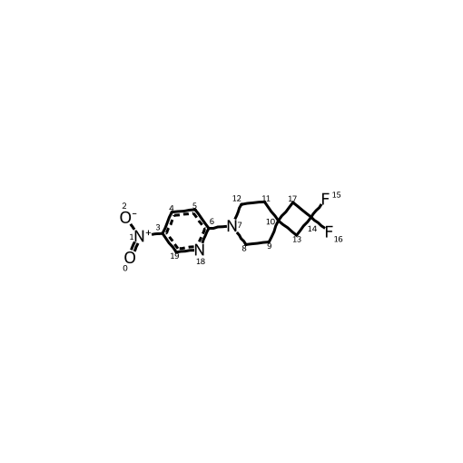 O=[N+]([O-])c1ccc(N2CCC3(CC2)CC(F)(F)C3)nc1